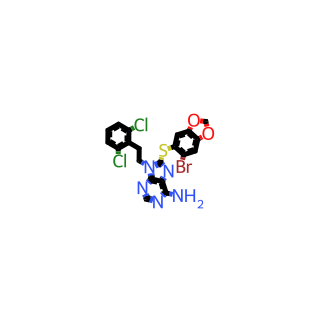 Nc1ncnc2c1nc(Sc1cc3c(cc1Br)OCO3)n2CCc1c(Cl)cccc1Cl